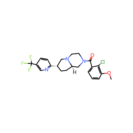 COc1cccc(C(=O)N2CCN3C[C@@H](c4ccc(C(F)(F)F)cn4)CC[C@@H]3C2)c1Cl